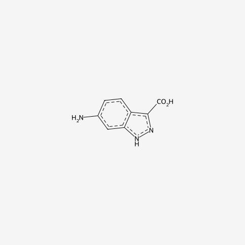 Nc1ccc2c(C(=O)O)n[nH]c2c1